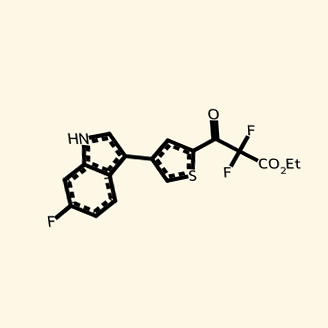 CCOC(=O)C(F)(F)C(=O)c1cc(-c2c[nH]c3cc(F)ccc23)cs1